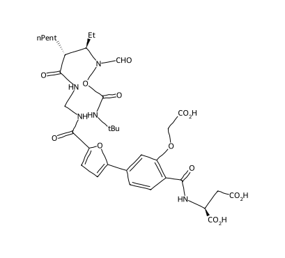 CCCCC[C@@H](C(=O)NCNC(=O)c1ccc(-c2ccc(C(=O)N[C@@H](CC(=O)O)C(=O)O)c(OCC(=O)O)c2)o1)[C@@H](CC)N(C=O)OC(=O)NC(C)(C)C